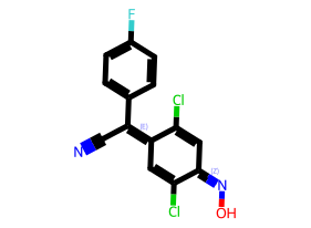 N#C/C(=C1C=C(Cl)/C(=N\O)C=C\1Cl)c1ccc(F)cc1